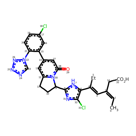 C/C=C(\C=C(/CC)c1[nH]c(C2CCc3cc(-c4cc(Cl)ccc4-n4cnnn4)cc(=O)n32)nc1Cl)CC(=O)O